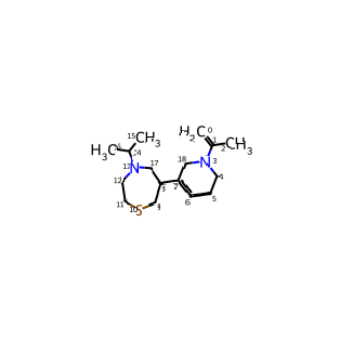 C=C(C)N1CCC=C(C2CSCCN(C(C)C)C2)C1